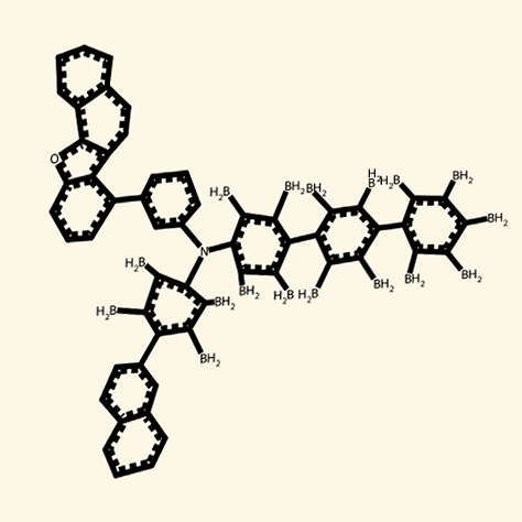 Bc1c(B)c(B)c(-c2c(B)c(B)c(-c3c(B)c(B)c(N(c4cccc(-c5cccc6oc7c8ccccc8ccc7c56)c4)c4c(B)c(B)c(-c5ccc6ccccc6c5)c(B)c4B)c(B)c3B)c(B)c2B)c(B)c1B